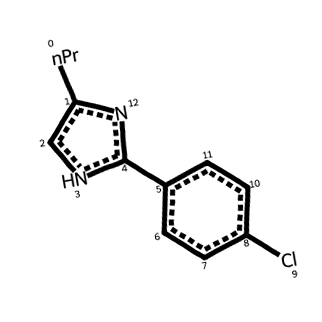 CCCc1c[nH]c(-c2ccc(Cl)cc2)n1